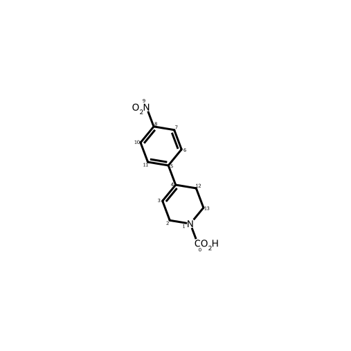 O=C(O)N1CC=C(c2ccc([N+](=O)[O-])cc2)CC1